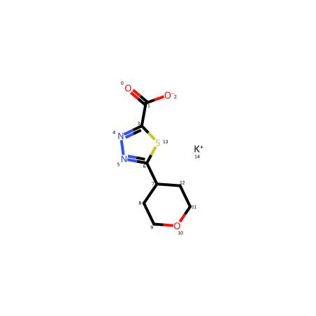 O=C([O-])c1nnc(C2CCOCC2)s1.[K+]